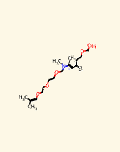 CCC(/C=C(\C)N(C)COCCOCCOC=C(C)C)CCOCO